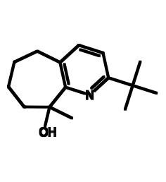 CC(C)(C)c1ccc2c(n1)C(C)(O)CCCC2